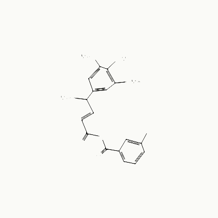 COc1cc(C(C=CC(=O)OC(=O)c2cccc(C)c2)OC)cc(OC)c1OC